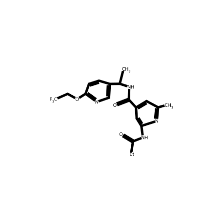 CCC(=O)Nc1cc(C(=O)NC(C)c2ccc(OCC(F)(F)F)nc2)cc(C)n1